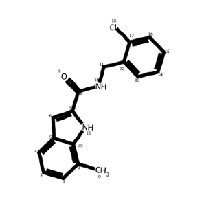 Cc1cccc2cc(C(=O)NCc3ccccc3Cl)[nH]c12